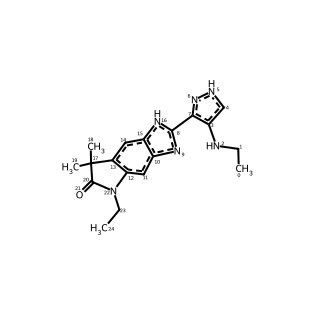 CCNc1c[nH]nc1-c1nc2cc3c(cc2[nH]1)C(C)(C)C(=O)N3CC